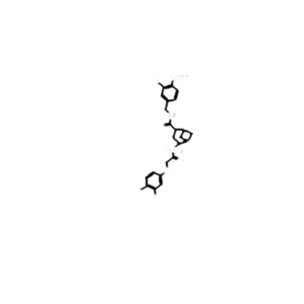 COc1ccc(CNC(=O)C2C[C@H](NC(=O)COc3ccc(Cl)c(F)c3)C3CC2C3)cc1Cl